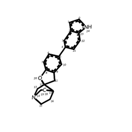 c1cc2cc(-c3ccc4c(c3)CC3(CN5CCC3CC5)O4)ccc2[nH]1